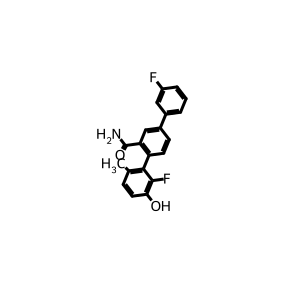 Cc1ccc(O)c(F)c1-c1ccc(-c2cccc(F)c2)cc1C(N)=O